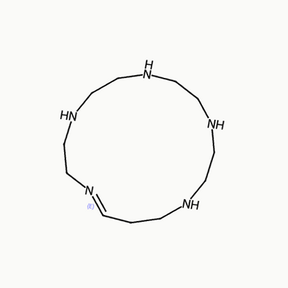 C1=N/CCNCCNCCNCCNCC/1